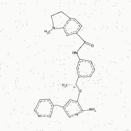 C[C@@H](Oc1cc(-c2cccnc2)cnc1N)c1cccc(NC(=O)c2ccc3c(c2)N(C)CC3)c1